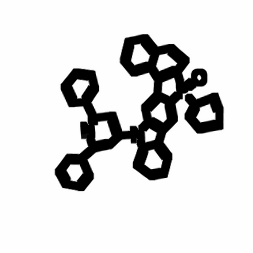 O=P1(c2ccccc2)c2cc3c4ccccc4n(-c4cc(-c5ccccc5)nc(-c5ccccc5)c4)c3cc2-c2c1ccc1ccccc21